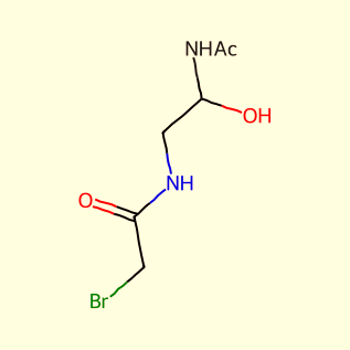 CC(=O)NC(O)CNC(=O)CBr